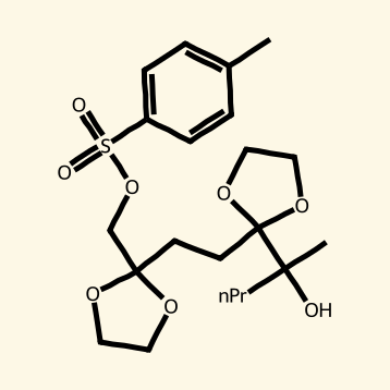 CCCC(C)(O)C1(CCC2(COS(=O)(=O)c3ccc(C)cc3)OCCO2)OCCO1